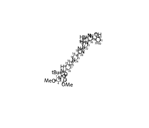 COC(=O)[C@@H]1C[C@@H](OC)CN1C(=O)[C@@H](NC(=O)[C@H]1CCC2(CC1)C[C@H](N1CCC(c3cnc(N4CCN5c6cc(-c7ccccc7O)nnc6NC[C@H]5C4)nc3)CC1)C2)C(C)(C)C